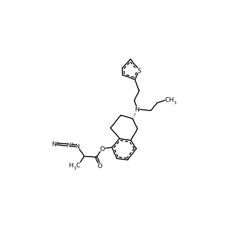 CCCN(CCc1cccs1)[C@H]1CCc2c(cccc2OC(=O)C(C)N=[N+]=[N-])C1